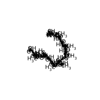 CC(=O)N[C@H](CCNC(=O)c1cc(NC(=O)c2nc(NC(=O)CCNC(=O)c3cc(NC(=O)c4nccn4C)cn3C)cn2C)cn1C)C(=O)Nc1cn(C)c(C(=O)NCCC(=O)Nc2cc(C(=O)Nc3cn(C)c(C(=O)NCCC(=O)O)n3)n(C)c2)n1